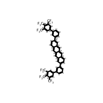 FC(F)(F)c1cc(-c2cccc(-c3ccc4cc5cc6cc(-c7cccc(-c8cc(C(F)(F)F)c(C(F)(F)F)c(C(F)(F)F)c8)c7)ccc6cc5cc4c3)c2)cc(C(F)(F)F)c1C(F)(F)F